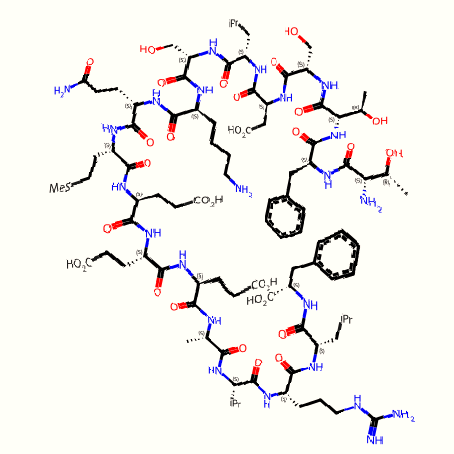 CSCC[C@H](NC(=O)[C@H](CCC(N)=O)NC(=O)[C@H](CCCCN)NC(=O)[C@H](CO)NC(=O)[C@H](CC(C)C)NC(=O)[C@H](CC(=O)O)NC(=O)[C@H](CO)NC(=O)[C@@H](NC(=O)[C@H](Cc1ccccc1)NC(=O)[C@@H](N)[C@@H](C)O)[C@@H](C)O)C(=O)N[C@@H](CCC(=O)O)C(=O)N[C@@H](CCC(=O)O)C(=O)N[C@@H](CCC(=O)O)C(=O)N[C@@H](C)C(=O)N[C@H](C(=O)N[C@@H](CCCNC(=N)N)C(=O)N[C@@H](CC(C)C)C(=O)N[C@@H](Cc1ccccc1)C(=O)O)C(C)C